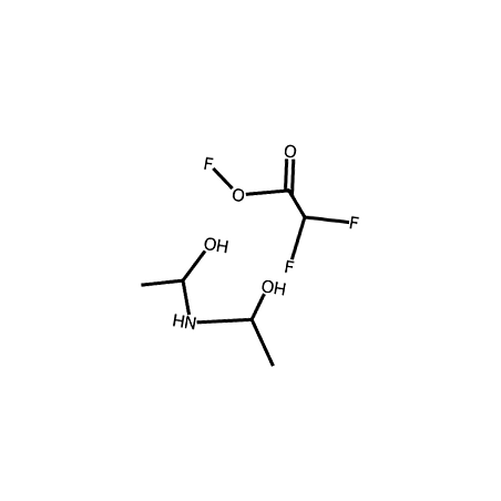 CC(O)NC(C)O.O=C(OF)C(F)F